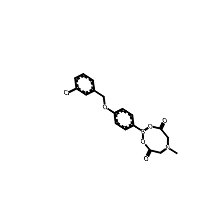 CN1CC(=O)OB(c2ccc(OCc3cccc(Cl)c3)cc2)OC(=O)C1